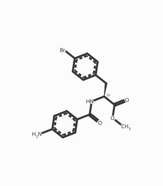 COC(=O)[C@H](Cc1ccc(Br)cc1)NC(=O)c1ccc(N)cc1